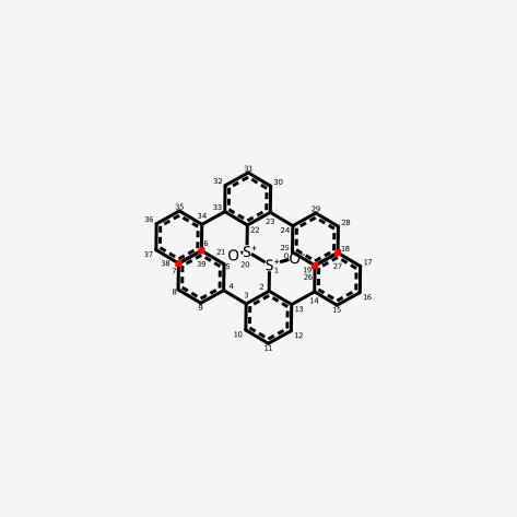 [O-][S+](c1c(-c2ccccc2)cccc1-c1ccccc1)[S+]([O-])c1c(-c2ccccc2)cccc1-c1ccccc1